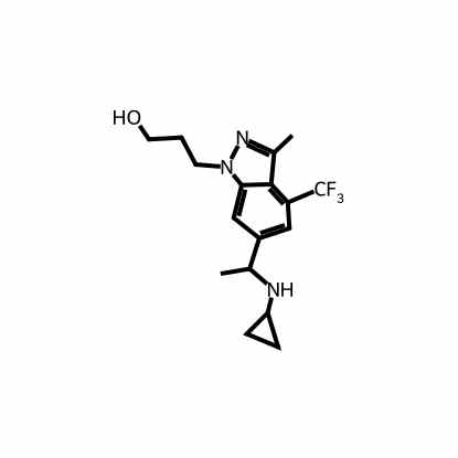 Cc1nn(CCCO)c2cc(C(C)NC3CC3)cc(C(F)(F)F)c12